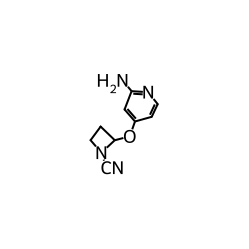 N#CN1CCC1Oc1ccnc(N)c1